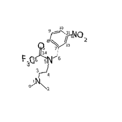 CN(C)CCN(Cc1cccc([N+](=O)[O-])c1)C(=O)C(F)(F)F